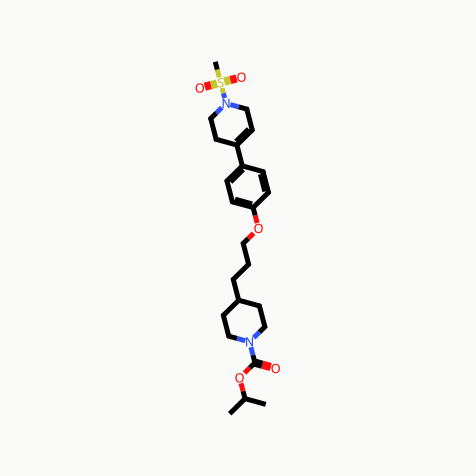 CC(C)OC(=O)N1CCC(CCCOc2ccc(C3=CCN(S(C)(=O)=O)CC3)cc2)CC1